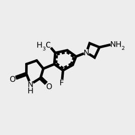 Cc1cc(N2CC(N)C2)cc(F)c1C1CCC(=O)NC1=O